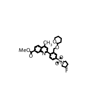 COC(=O)c1ccc2c(C)cc(-c3ccc(S(=O)(=O)N4CC[C@H](F)C4)cc3COC3CCCCO3)nc2c1